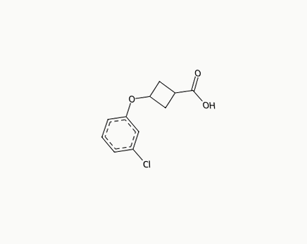 O=C(O)C1CC(Oc2cccc(Cl)c2)C1